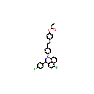 C=CC(=O)Oc1ccc(C=Cc2ccc(N(C=C(c3ccc(F)cc3)c3ccc(F)cc3)c3ccccc3)cc2)cc1